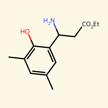 CCOC(=O)CC(N)c1cc(C)cc(C)c1O